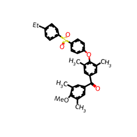 CCc1ccc(S(=O)(=O)c2ccc(Oc3c(C)cc(C(=O)c4cc(C)c(OC)c(C)c4)cc3C)cc2)cc1